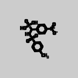 Cc1ccc(S(=O)(=O)NC(c2ccc([N+](=O)[O-])cc2)P(=O)(O)O)cc1